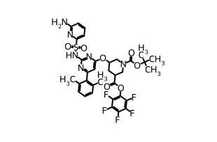 Cc1cccc(C)c1-c1cc(OC2CC(C(=O)Oc3c(F)c(F)c(F)c(F)c3F)CN(C(=O)OC(C)(C)C)C2)nc(NS(=O)(=O)c2cccc(N)n2)n1